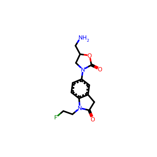 NCC1CN(c2ccc3c(c2)CC(=O)N3CCF)C(=O)O1